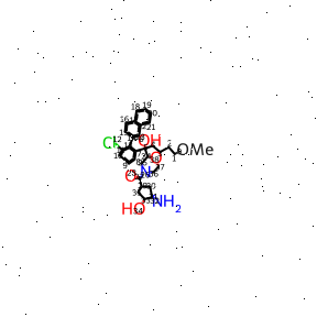 COCCCCC(O)(c1cccc(Cl)c1-c1ccc2ccccc2c1)C1CN(C(=O)C2CC(N)C(O)C2)CCO1